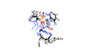 CCOC(=O)c1c(C)n[nH]c1S(=O)(=O)N(C(=O)Nc1nc(C)cc(OC)n1)c1ccccn1